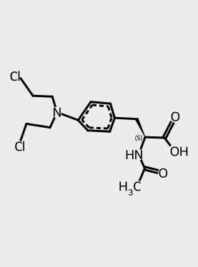 CC(=O)N[C@@H](Cc1ccc(N(CCCl)CCCl)cc1)C(=O)O